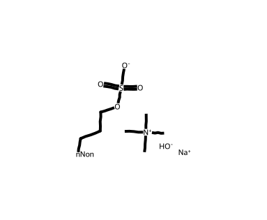 CCCCCCCCCCCCOS(=O)(=O)[O-].C[N+](C)(C)C.[Na+].[OH-]